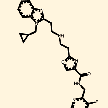 O=C(NCc1ncccc1F)c1coc(CCNCCc2nc3ccccc3n2CC2CC2)n1